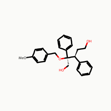 COc1ccc(CO[C@@](CO)(c2ccccc2)[C@@H](CCO)c2ccccc2)cc1